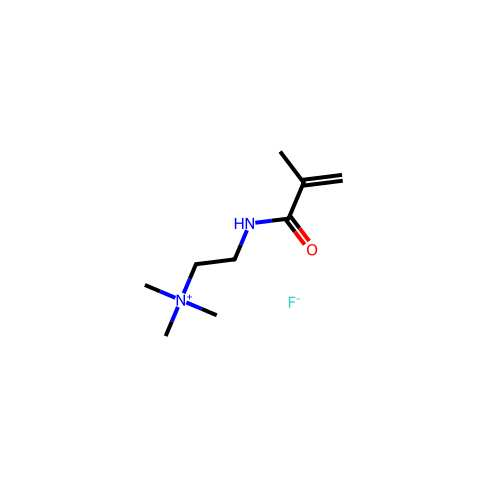 C=C(C)C(=O)NCC[N+](C)(C)C.[F-]